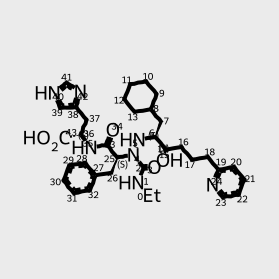 CCNC(=O)N(N[C@@H](CC1CCCCC1)[C@@H](O)CCCc1ccccn1)[C@@H](Cc1ccccc1)C(=O)N[C@@H](Cc1c[nH]cn1)C(=O)O